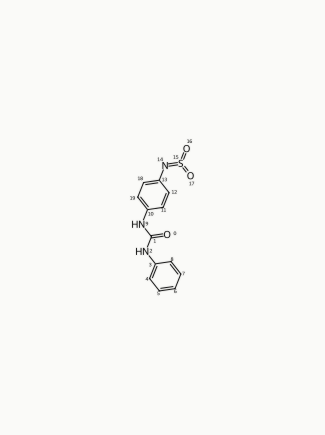 O=C(Nc1ccccc1)Nc1ccc(N=S(=O)=O)cc1